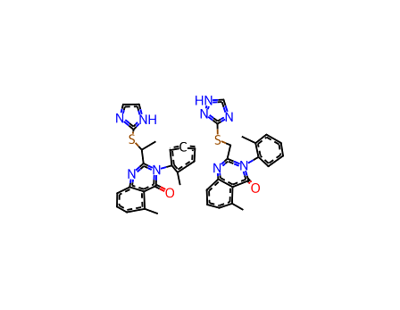 Cc1ccccc1-n1c(C(C)Sc2ncc[nH]2)nc2cccc(C)c2c1=O.Cc1ccccc1-n1c(CSc2nc[nH]n2)nc2cccc(C)c2c1=O